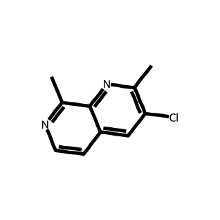 Cc1nc2c(C)nccc2cc1Cl